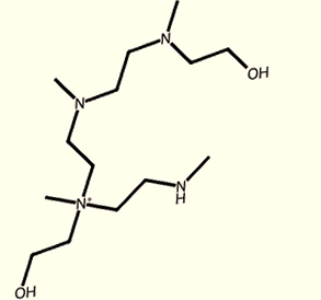 CNCC[N+](C)(CCO)CCN(C)CCN(C)CCO